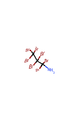 NC(Br)(Br)C(Br)(Br)C(Br)(Br)Br